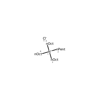 CCCCCCCC[N+](CCCCC)(CCCCCCCC)CCCCCCCC.[Cl-]